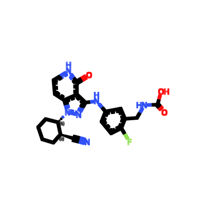 N#C[C@H]1CCCC[C@@H]1n1nc(Nc2ccc(F)c(CNC(=O)O)c2)c2c(=O)[nH]ccc21